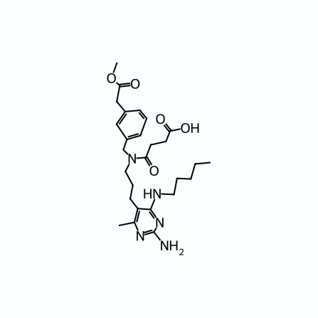 CCCCCNc1nc(N)nc(C)c1CCCN(Cc1cccc(CC(=O)OC)c1)C(=O)CCC(=O)O